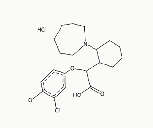 Cl.O=C(O)C(Oc1ccc(Cl)c(Cl)c1)C1CCCCC1N1CCCCCC1